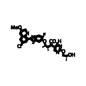 COc1cnc2c(-c3nc4cc(F)c(O[C@@H](C)[C@@H](C)N(C(=O)O)c5cnc(OC[C@@H](C)O)nc5)cc4s3)cc(Cl)cc2c1